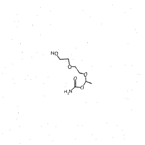 CC(OCCOCCO)OC(N)=O